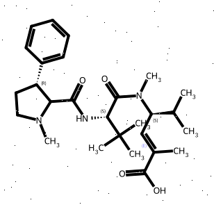 C/C(=C\[C@H](C(C)C)N(C)C(=O)[C@@H](NC(=O)C1[C@@H](c2ccccc2)CCN1C)C(C)(C)C)C(=O)O